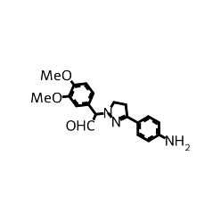 COc1ccc(C(C=O)N2CCC(c3ccc(N)cc3)=N2)cc1OC